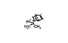 CC(C)[Si](C)(C)C1CC2C=CC1C2